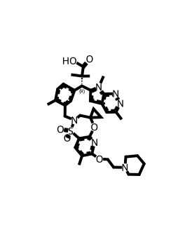 Cc1cc2cc([C@H](c3ccc(C)c(CN4CC5(CC5)Oc5nc(OCCN6CCCCC6)c(C)cc5S4(=O)=O)c3)C(C)(C)C(=O)O)n(C)c2nn1